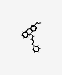 COc1ccc2c(c1)Cc1ccccc1N2CCCCN1CCCCC1